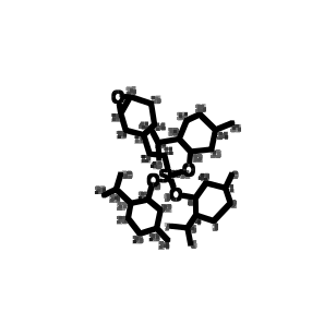 CC1CCC(C(C)C)C(O[Si](CCC2CCC3OC3C2)(OC2CC(C)CCC2C(C)C)OC2CC(C)CCC2C(C)C)C1